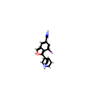 N#Cc1cc(I)c2c(C3=CN4CCC3CC4)occ2c1